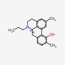 CCCN1CCc2cc(C)cc3c2[C@H]1Cc1ccc(C)c(O)c1-3